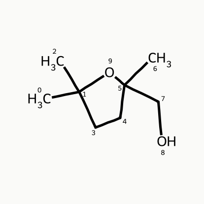 CC1(C)CCC(C)(CO)O1